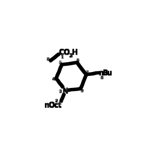 CC(=O)O.CCCCCCCCN1CCCC(CCCC)C1